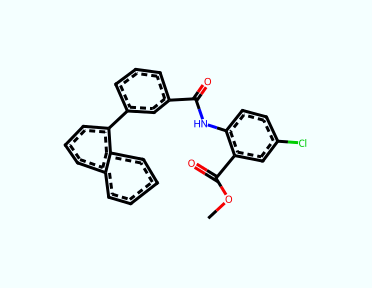 COC(=O)c1cc(Cl)ccc1NC(=O)c1cccc(-c2cccc3ccccc23)c1